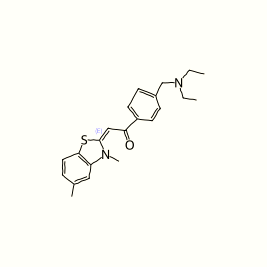 CCN(CC)Cc1ccc(C(=O)/C=C2/Sc3ccc(C)cc3N2C)cc1